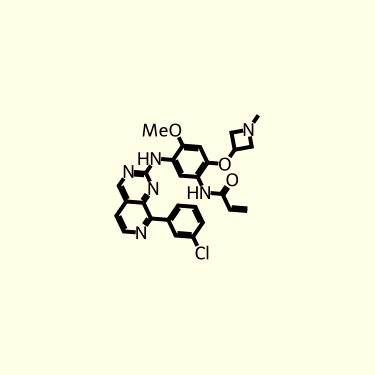 C=CC(=O)Nc1cc(Nc2ncc3ccnc(-c4cccc(Cl)c4)c3n2)c(OC)cc1OC1CN(C)C1